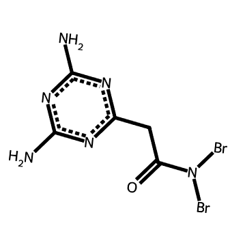 Nc1nc(N)nc(CC(=O)N(Br)Br)n1